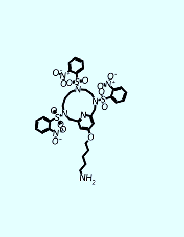 NCCCCCOc1cc2nc(c1)CN(S(=O)(=O)c1ccccc1[N+](=O)[O-])CCN(S(=O)(=O)c1ccccc1[N+](=O)[O-])CCCN(S(=O)(=O)c1ccccc1[N+](=O)[O-])C2